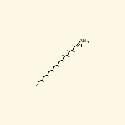 CCCCCCCCCCCCCCCCNC[SiH3]